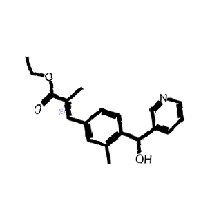 CCOC(=O)/C(C)=C/c1ccc(C(O)c2cccnc2)c(C)c1